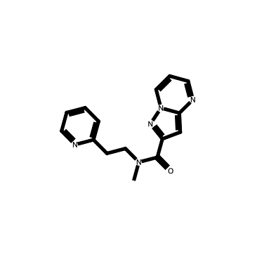 CN(CCc1ccccn1)C(=O)c1cc2ncccn2n1